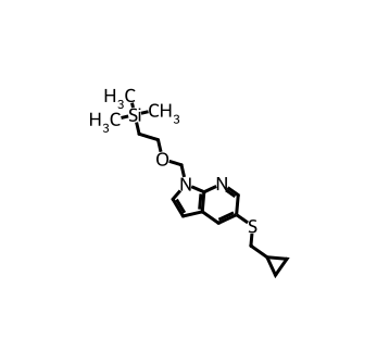 C[Si](C)(C)CCOCn1ccc2cc(SCC3CC3)cnc21